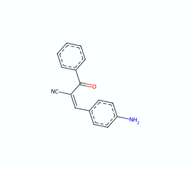 N#CC(=Cc1ccc(N)cc1)C(=O)c1ccccc1